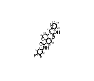 O=C(Nc1ccc(F)c(F)c1)c1cccc2c1OCCC2N(Cc1ccccn1)C(=O)O